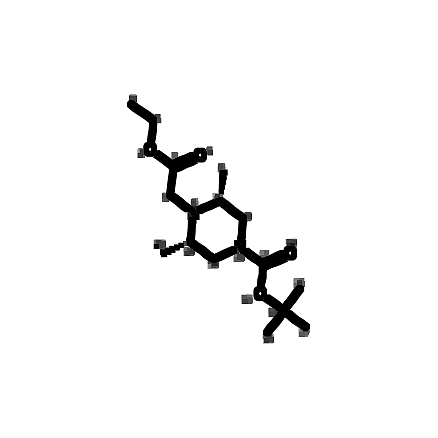 CCOC(=O)CN1[C@H](C)CN(C(=O)OC(C)(C)C)C[C@@H]1C